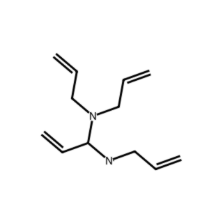 C=CC[N]C(C=C)N(CC=C)CC=C